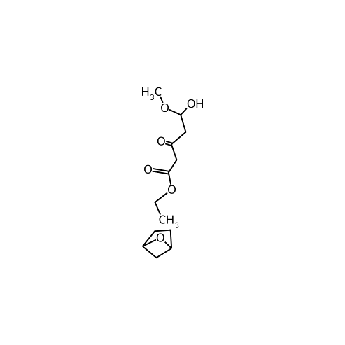 C1CC2CC1O2.CCOC(=O)CC(=O)CC(O)OC